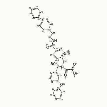 O=C(O)C(=O)N(Cc1cccc(Oc2ccccc2)c1)Cc1c(Br)cc(C(=O)NCCc2ccc(-c3ccccc3)cc2)cc1Br